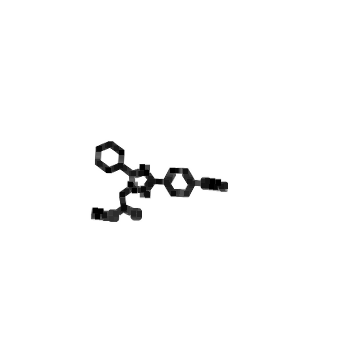 COC(=O)Cn1nc(-c2ccc(OC)cc2)nc1C1CCCCC1